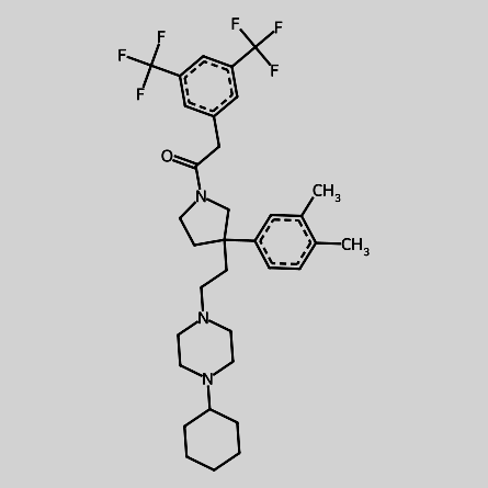 Cc1ccc(C2(CCN3CCN(C4CCCCC4)CC3)CCN(C(=O)Cc3cc(C(F)(F)F)cc(C(F)(F)F)c3)C2)cc1C